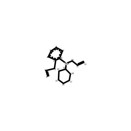 C=CCc1ccccc1N(CC=C)C1CCCCC1